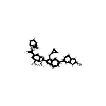 COc1cc(C(=O)N2CC3CCC2[C@@H]3N)cc2nc(-c3cc4ccc(-c5ccc6c(c5)CC(O)C6)cc4n3CC3CC3)n(C)c12